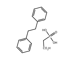 O=C(O)CP(=O)(O)O.c1ccc(CCc2ccccc2)cc1